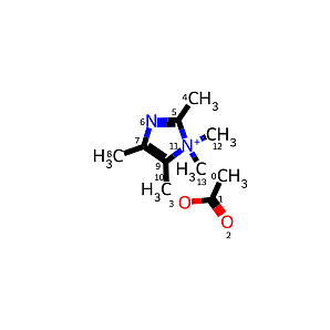 CC(=O)[O-].CC1=NC(C)=C(C)[N+]1(C)C